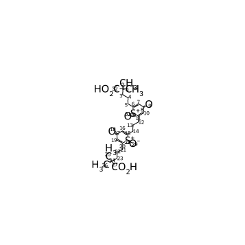 CC(C)(CCCc1cc(=O)cc(CCCc2cc(=O)cc(CCCC(C)(C)C(=O)O)[s+]2[O-])[s+]1[O-])C(=O)O